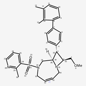 COC[C@@H]1[C@@H](c2ccc(-c3cccc(C)c3C)cc2)[C@@H]2CN(S(=O)(=O)c3cccnc3C)C/C=C\CN12